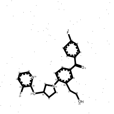 O=C(c1ccc(F)cc1)c1ccc(N2CCC(Oc3ncccc3F)C2)c(CCO)c1